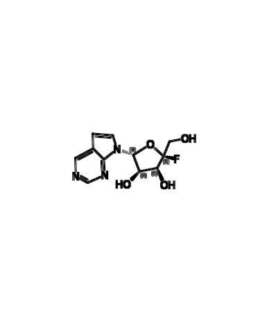 OC[C@@]1(F)O[C@@H](n2ccc3cncnc32)[C@H](O)[C@@H]1O